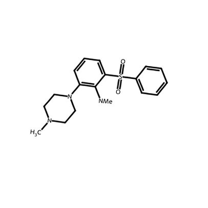 CNc1c(N2CCN(C)CC2)cccc1S(=O)(=O)c1ccccc1